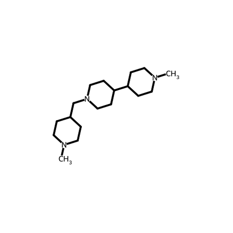 CN1CCC(CN2CCC(C3CCN(C)CC3)CC2)CC1